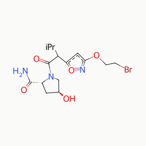 CC(C)C(C(=O)N1C[C@@H](O)C[C@@H]1C(N)=O)c1cc(OCCBr)no1